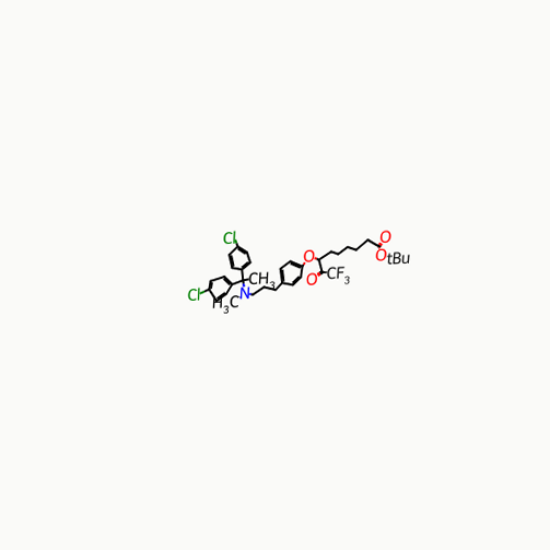 CN(CCCc1ccc(OC(CCCCCC(=O)OC(C)(C)C)C(=O)C(F)(F)F)cc1)C(C)(c1ccc(Cl)cc1)c1ccc(Cl)cc1